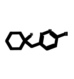 FC1(Cc2ccc(Cl)nn2)CCCCC1